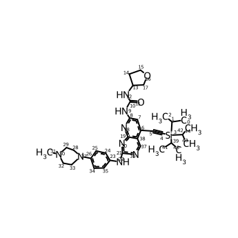 CC(C)[Si](C#Cc1cc(NC(=O)NC2CCOC2)nc2nc(Nc3ccc(N4CCN(C)CC4)cc3)ncc12)(C(C)C)C(C)C